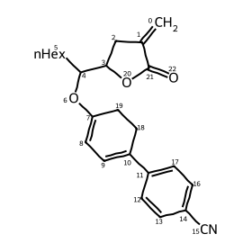 C=C1CC(C(CCCCCC)OC2=CC=C(c3ccc(C#N)cc3)CC2)OC1=O